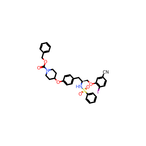 N#Cc1ccc(I)c(OC[C@H](Cc2ccc(OC3CCN(C(=O)OCc4ccccc4)CC3)cc2)NS(=O)(=O)c2ccccc2)c1